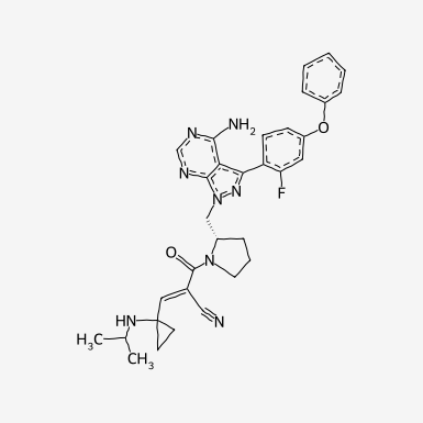 CC(C)NC1(C=C(C#N)C(=O)N2CCC[C@H]2Cn2nc(-c3ccc(Oc4ccccc4)cc3F)c3c(N)ncnc32)CC1